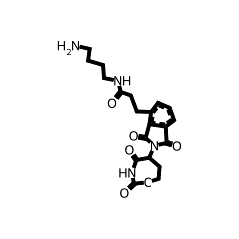 NCCCCNC(=O)CCc1cccc2c1C(=O)N(C1CCCC(=O)NC1=O)C2=O